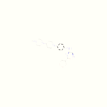 CN1CCN(C2CCN(c3ccc(NC4=NC(C5CCOCC5)ON=C4)cc3)CC2)CC1